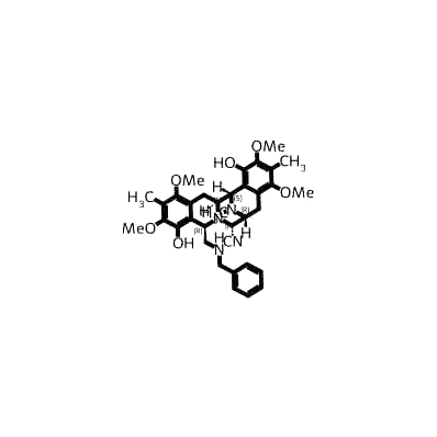 COc1c(C)c(OC)c2c(c1O)[C@H]1[C@@H]3Cc4c(OC)c(C)c(OC)c(O)c4[C@H](CNCc4ccccc4)N3[C@@H](C#N)[C@@H](C2)N1C